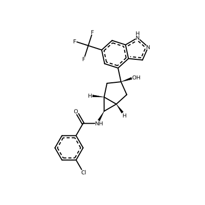 O=C(N[C@H]1[C@@H]2C[C@](O)(c3cc(C(F)(F)F)cc4[nH]ncc34)C[C@@H]21)c1cccc(Cl)c1